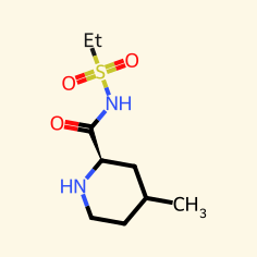 CCS(=O)(=O)NC(=O)[C@H]1CC(C)CCN1